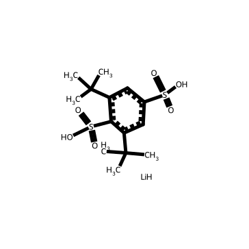 CC(C)(C)c1cc(S(=O)(=O)O)cc(C(C)(C)C)c1S(=O)(=O)O.[LiH]